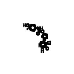 C[C@]1(O)CC[C@@H](NC(=O)O[C@@H]2CCN(c3cn[nH]c(=O)c3Cl)C2)CC1